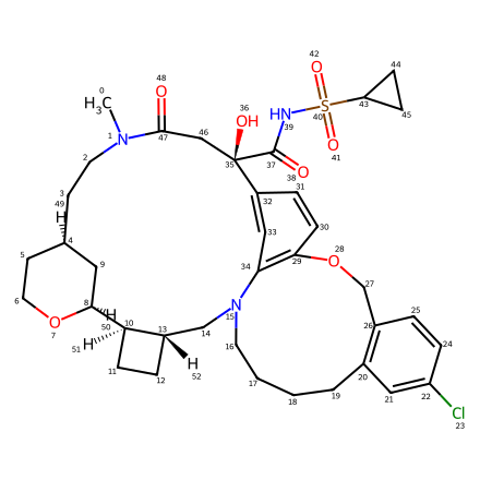 CN1CC[C@@H]2CCO[C@@H](C2)[C@@H]2CC[C@H]2CN2CCCCc3cc(Cl)ccc3COc3ccc(cc32)[C@@](O)(C(=O)NS(=O)(=O)C2CC2)CC1=O